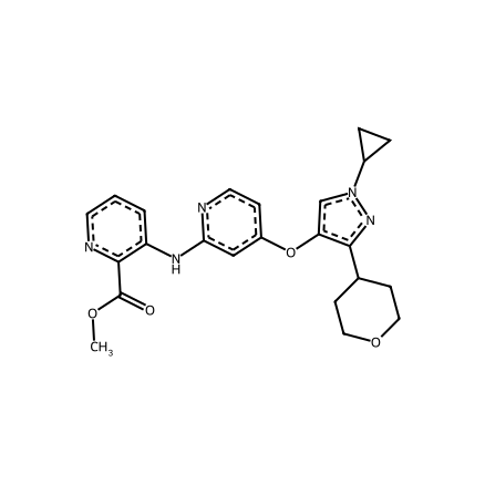 COC(=O)c1ncccc1Nc1cc(Oc2cn(C3CC3)nc2C2CCOCC2)ccn1